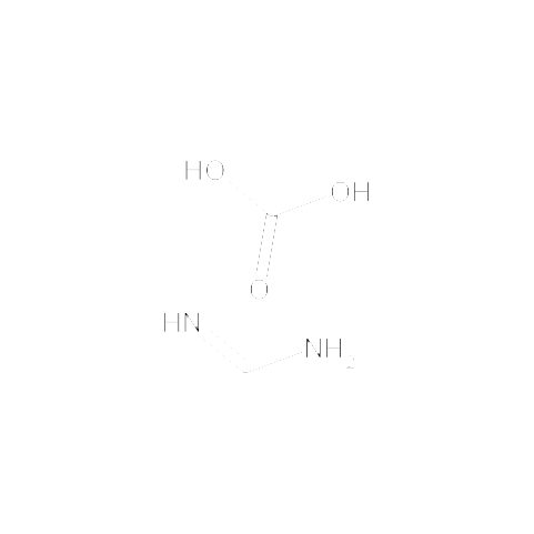 N=CN.O=C(O)O